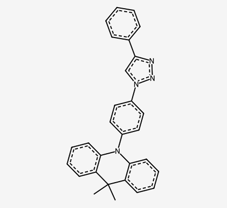 CC1(C)c2ccccc2N(c2ccc(-n3cc(-c4ccccc4)nn3)cc2)c2ccccc21